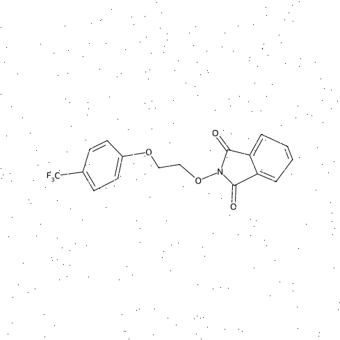 O=C1c2ccccc2C(=O)N1OCCOc1ccc(C(F)(F)F)cc1